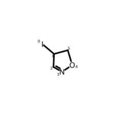 IC1C=NOC1